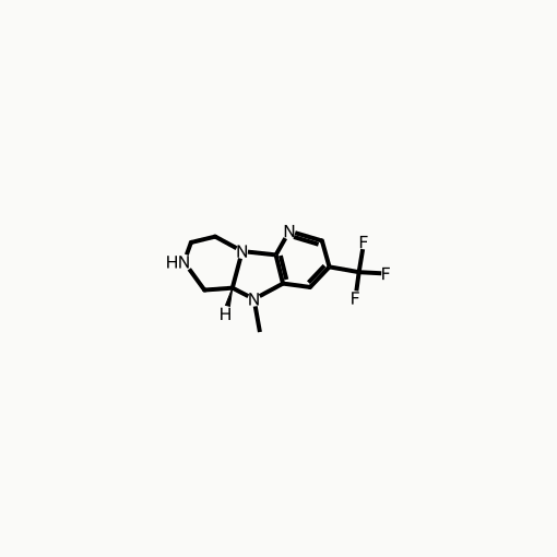 CN1c2cc(C(F)(F)F)cnc2N2CCNC[C@@H]12